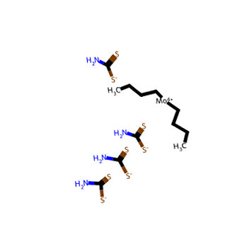 CCC[CH2][Mo+4][CH2]CCC.NC(=S)[S-].NC(=S)[S-].NC(=S)[S-].NC(=S)[S-]